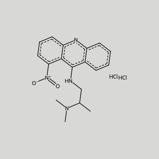 CC(CNc1c2ccccc2nc2cccc([N+](=O)[O-])c12)N(C)C.Cl.Cl